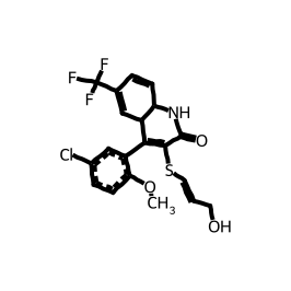 COc1ccc(Cl)cc1C1=C(S/C=C/CO)C(=O)NC2C=CC(C(F)(F)F)=CC12